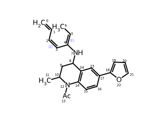 C=C/C=C\C(=C/C)NC1CC(C)N(C(C)=O)c2ccc(-c3ccco3)cc21